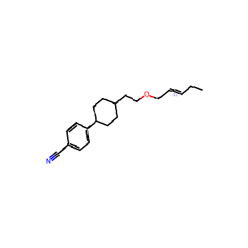 CC/C=C/COCCC1CCC(c2ccc(C#N)cc2)CC1